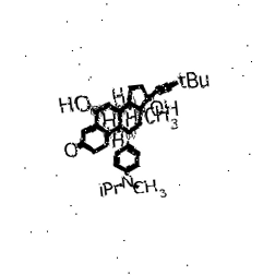 CC(C)N(C)c1ccc([C@H]2C[C@@]3(C)[C@@H](CC[C@@]3(O)C#CC(C)(C)C)[C@@H]3C[C@@H](O)C4=CC(=O)CC[C@@H]4[C@H]32)cc1